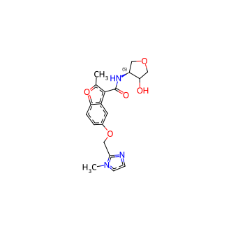 Cc1oc2ccc(OCc3nccn3C)cc2c1C(=O)N[C@H]1COCC1O